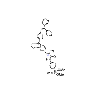 CO[Si](OC)(OC)c1ccc(NC(=O)/C(C#N)=C/c2ccc3c(c2)C2CCCC2N3c2ccc(C=C(c3ccccc3)c3ccccc3)cc2)cc1